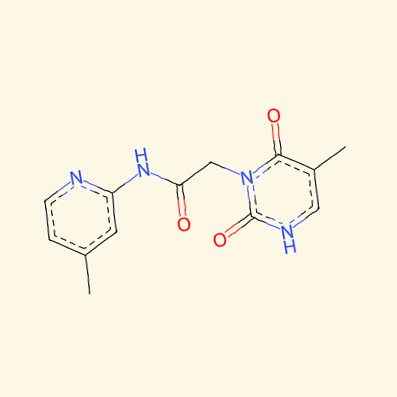 Cc1ccnc(NC(=O)Cn2c(=O)[nH]cc(C)c2=O)c1